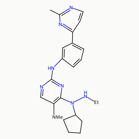 CCNN(c1nc(Nc2cccc(-c3ccnc(C)n3)c2)ncc1NC)C1CCCC1